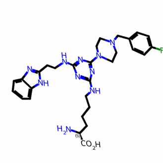 N[C@@H](CCCCNc1nc(NCCc2nc3ccccc3[nH]2)nc(N2CCN(Cc3ccc(F)cc3)CC2)n1)C(=O)O